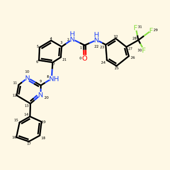 O=C(Nc1cccc(Nc2nccc(-c3ccccc3)n2)c1)Nc1cccc(C(F)(F)F)c1